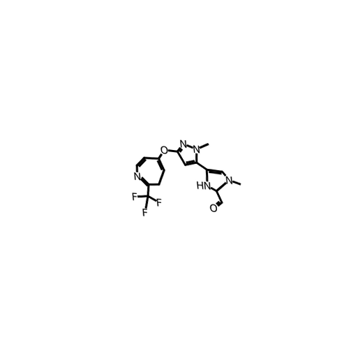 CN1C=C(c2cc(OC3=CCC(C(F)(F)F)=NC=C3)nn2C)NC1C=O